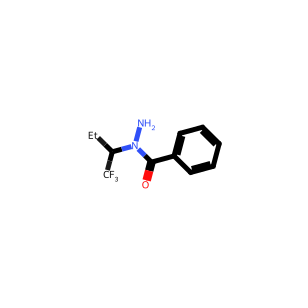 CCC(N(N)C(=O)c1ccccc1)C(F)(F)F